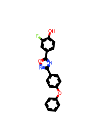 Oc1ccc(-c2nc(-c3ccc(Oc4ccccc4)cc3)no2)cc1F